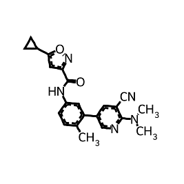 Cc1ccc(NC(=O)c2cc(C3CC3)on2)cc1-c1cnc(N(C)C)c(C#N)c1